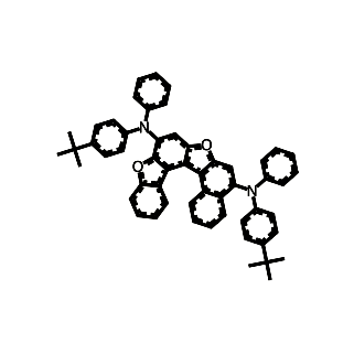 CC(C)(C)c1ccc(N(c2ccccc2)c2cc3oc4cc(N(c5ccccc5)c5ccc(C(C)(C)C)cc5)c5oc6ccccc6c5c4c3c3ccccc23)cc1